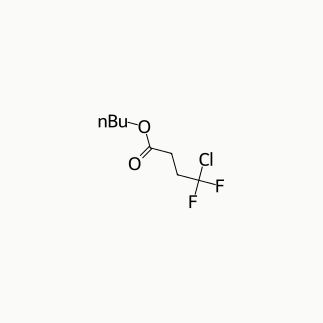 CCCCOC(=O)CCC(F)(F)Cl